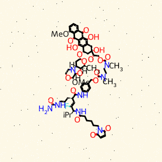 COc1cccc2c1C(=O)c1c(O)c3c(c(O)c1C2=O)C[C@@](O)(C(=O)COC(=O)N(C)CCN(C)C(=O)OCc1ccc(NC(=O)[C@@H](/C=C(\F)[C@@H](NC(=O)CCCCCN2C(=O)C=CC2=O)C(C)C)CCCNC(N)=O)cc1)C[C@@H]3O[C@H]1C[C@H]2[C@H](O[C@@H]3[C@@H](OC)OCCN32)[C@H](C)O1